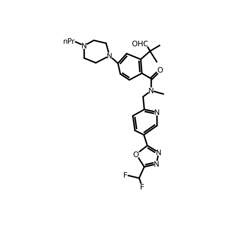 CCCN1CCN(c2ccc(C(=O)N(C)Cc3ccc(-c4nnc(C(F)F)o4)cn3)c(C(C)(C)C=O)c2)CC1